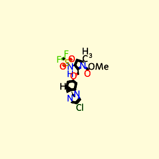 COC(=O)N1[C@H](C)C[C@H](NS(=O)(=O)C(F)F)[C@@H]1CO[C@H]1CC[C@@]2(c3ncc(Cl)cn3)C[C@H]2C1